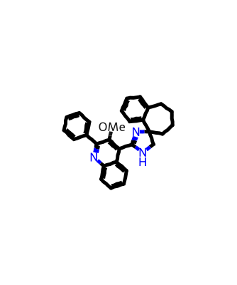 COc1c(-c2ccccc2)nc2ccccc2c1C1=NC2(CCCCc3ccccc32)CN1